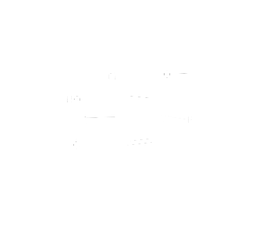 COc1c(F)ccc(C(=O)O)c1Cl